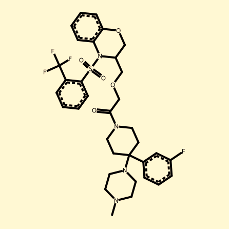 CN1CCN(C2(c3cccc(F)c3)CCN(C(=O)COCC3COc4ccccc4N3S(=O)(=O)c3ccccc3C(F)(F)F)CC2)CC1